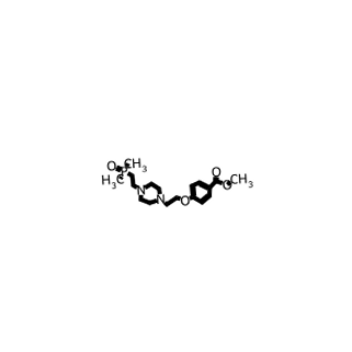 COC(=O)c1ccc(OCCN2CCN(CCP(C)(C)=O)CC2)cc1